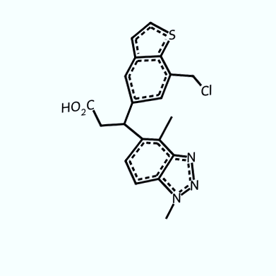 Cc1c(C(CC(=O)O)c2cc(CCl)c3sccc3c2)ccc2c1nnn2C